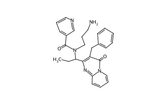 CCC(c1nc2ccccn2c(=O)c1Cc1ccccc1)N(CCCN)C(=O)c1cccnc1